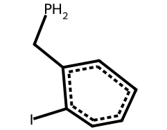 PCc1ccccc1I